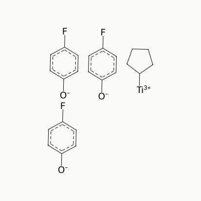 [O-]c1ccc(F)cc1.[O-]c1ccc(F)cc1.[O-]c1ccc(F)cc1.[Ti+3][CH]1CCCC1